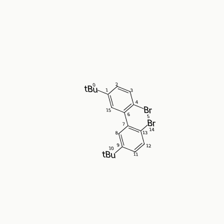 CC(C)(C)c1ccc(Br)c(-c2cc(C(C)(C)C)ccc2Br)c1